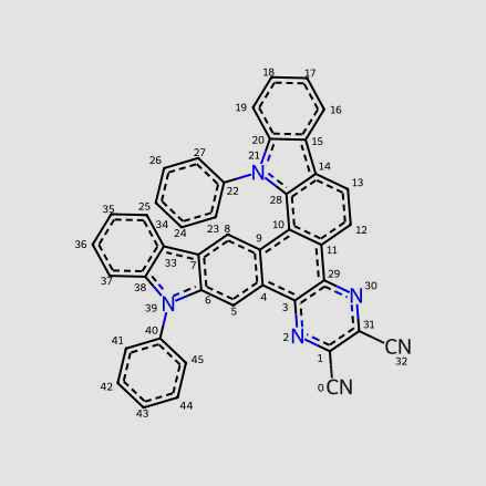 N#Cc1nc2c3cc4c(cc3c3c(ccc5c6ccccc6n(-c6ccccc6)c53)c2nc1C#N)c1ccccc1n4-c1ccccc1